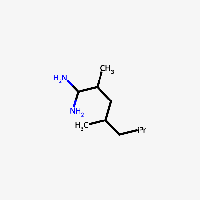 CC(C)CC(C)CC(C)C(N)N